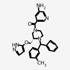 Cc1cccc(C(c2ccccc2)N2CCN(C(=O)c3cncc(N)c3)C[C@H]2COc2ccn[nH]2)c1